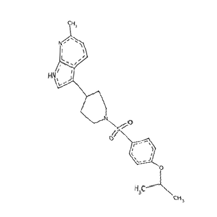 Cc1ccc2c(C3CCN(S(=O)(=O)c4ccc(OC(C)C)cc4)CC3)c[nH]c2n1